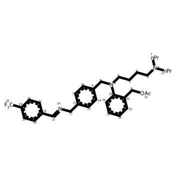 CCCN(CCC)CCCCN(Cc1ccc(C/N=C/c2ccc(C(F)(F)F)cc2)cc1)c1ccccc1COC(C)=O